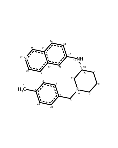 Cc1ccc(CN2CCC[C@@H](Nc3ccc4cnccc4c3)C2)cc1